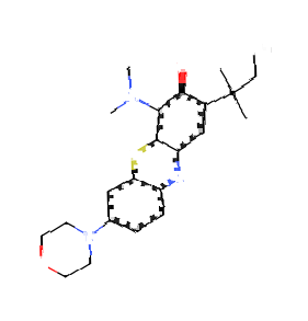 CN(C)c1c2sc3cc(N4CCOCC4)ccc3nc-2cc(C(C)(C)CC(C)(C)C)c1=O